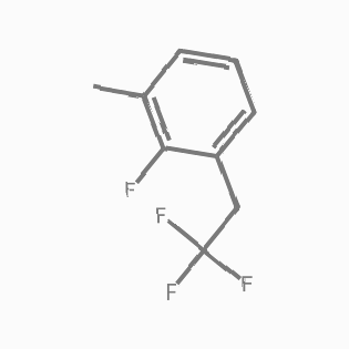 Cc1cccc(CC(F)(F)F)c1F